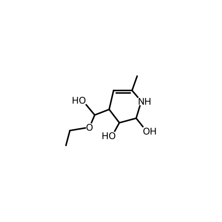 CCOC(O)C1C=C(C)NC(O)C1O